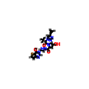 CC(C)(C)[C@@H](C(=O)N1C[C@H](O)C[C@H]1C(=O)NCCn1cnc2ccsc2c1=O)n1cc(C2CC2)nn1